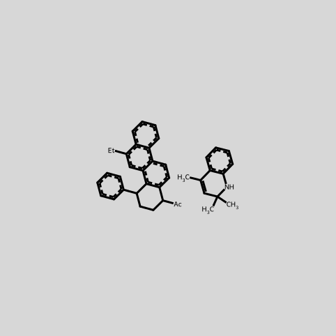 CC1=CC(C)(C)Nc2ccccc21.CCc1cc2c3c(ccc2c2ccccc12)C(C(C)=O)CCC3c1ccccc1